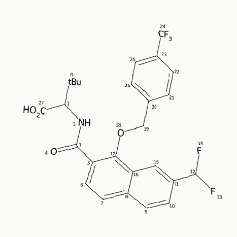 CC(C)(C)C(NC(=O)c1ccc2ccc(C(F)F)cc2c1OCc1ccc(C(F)(F)F)cc1)C(=O)O